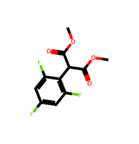 COC(=O)C(C(=O)OC)c1c(F)cc(F)cc1F